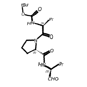 CC(C)[C@H](NC(=O)OC(C)(C)C)C(=O)N1CCC[C@H]1C(=O)N[C@H](C=O)C(C)C